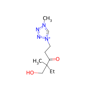 CCC(C)(CO)C(=O)CC[n+]1cn(C)nn1